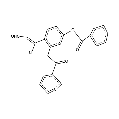 O=C/C=C(\Cl)c1ccc(OC(=O)c2ccccc2)cc1CC(=O)c1ccccc1